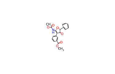 COC(=O)NC1=C(c2cccc(C(=O)OC)c2)C(=O)C(c2ccccc2)O1